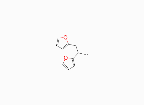 [CH2]C(Cc1ccco1)c1ccco1